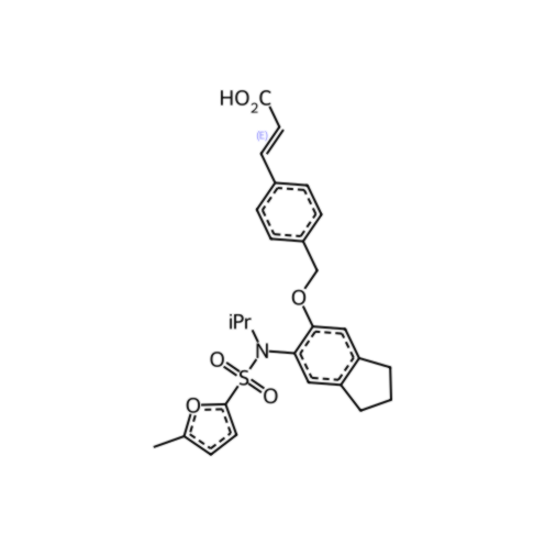 Cc1ccc(S(=O)(=O)N(c2cc3c(cc2OCc2ccc(/C=C/C(=O)O)cc2)CCC3)C(C)C)o1